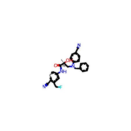 C[C@](O)(CN(Cc1ccccc1)c1ccc(C#N)cc1)C(=O)Nc1ccc(C#N)c(CF)c1